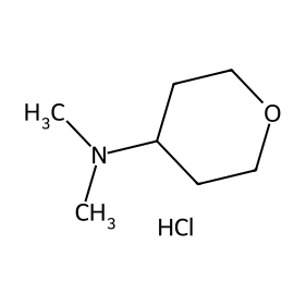 CN(C)C1CCOCC1.Cl